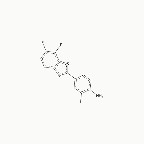 Cc1cc(-c2nc3ccc(F)c(F)c3s2)ccc1N